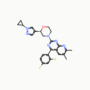 Cc1cc2c(-c3ccc(F)cc3F)nc(N3CCO[C@H](c4cnn(C5CC5)c4)C3)nc2nc1C